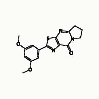 COc1cc(OC)cc(-c2nc3c(=O)n4c(nc3s2)CCC4)c1